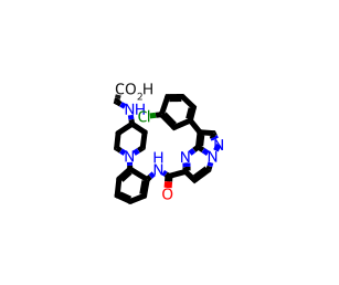 O=C(O)CNC1CCN(c2ccccc2NC(=O)c2ccn3ncc(-c4cccc(Cl)c4)c3n2)CC1